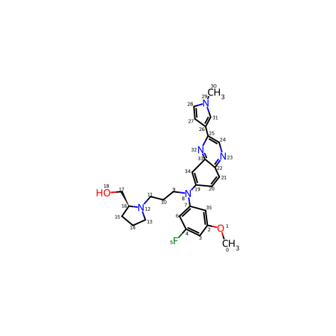 COc1cc(F)cc(N(CCCN2CCC[C@H]2CO)c2ccc3ncc(-c4ccn(C)c4)nc3c2)c1